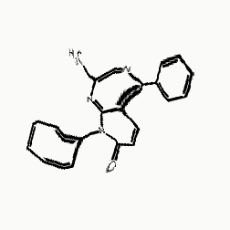 Cc1nc(-c2ccccc2)c2ccc(=O)n(-c3ccccc3)c2n1